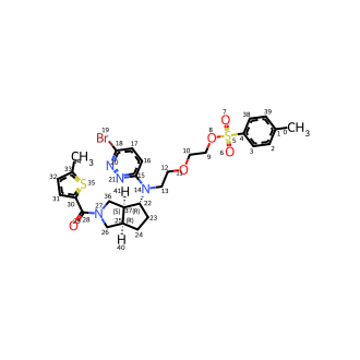 Cc1ccc(S(=O)(=O)OCCOCCN(c2ccc(Br)nn2)[C@@H]2CC[C@H]3CN(C(=O)c4ccc(C)s4)C[C@H]32)cc1